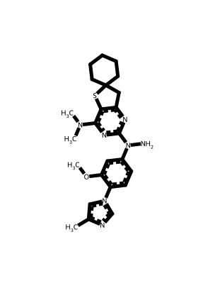 COc1cc(N(N)c2nc3c(c(N(C)C)n2)SC2(CCCCC2)C3)ccc1-n1cnc(C)c1